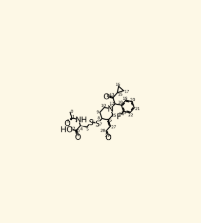 CC(=O)N[C@@H](CSSC1CCN(C(C(=O)C2CC2)c2ccccc2F)C/C1=C/C=O)C(=O)O